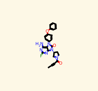 CC#CC(=O)N1CC[C@@H](n2c(=O)n(-c3ccc(Oc4ccccc4)cc3)c3c(N)nc(F)nc32)C1